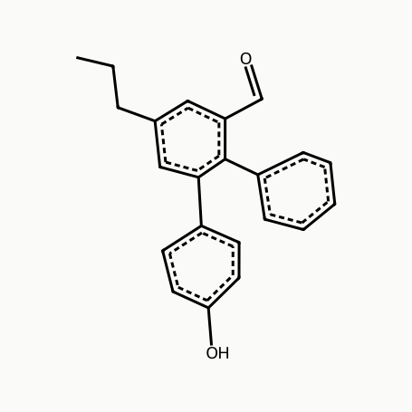 CCCc1cc(C=O)c(-c2ccccc2)c(-c2ccc(O)cc2)c1